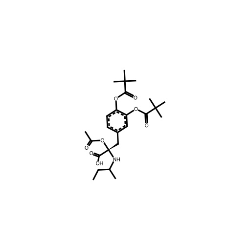 CCC(C)N[C@@](Cc1ccc(OC(=O)C(C)(C)C)c(OC(=O)C(C)(C)C)c1)(OC(C)=O)C(=O)O